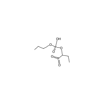 CCCOP(=O)(O)OC(CC)P(=O)=O